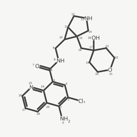 Nc1c(Cl)cc(C(=O)NCC2C3CNCC32CC2(O)CCOCC2)c2ncccc12